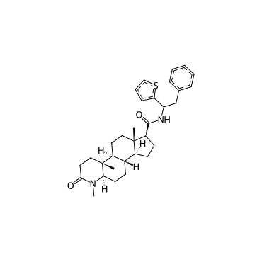 CN1C(=O)CC[C@]2(C)[C@H]3CC[C@]4(C)[C@@H](C(=O)NC(Cc5ccccc5)c5cccs5)CC[C@H]4[C@@H]3CC[C@@H]12